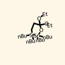 CCC[CH2][Sn]1([CH2]CCC)[CH2]CC(OCC)(OCC)[O][Sn]1([CH2]CCC)[CH2]CCC